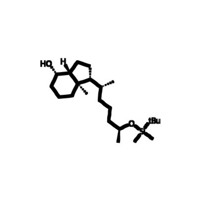 C[C@H](CCC[C@H](C)O[Si](C)(C)C(C)(C)C)[C@H]1CC[C@H]2[C@@H](O)CCC[C@]12C